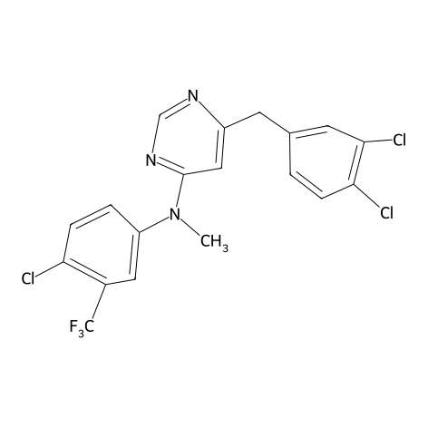 CN(c1ccc(Cl)c(C(F)(F)F)c1)c1cc(Cc2ccc(Cl)c(Cl)c2)ncn1